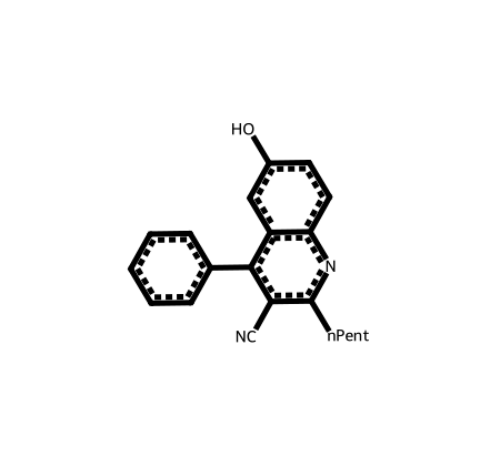 CCCCCc1nc2ccc(O)cc2c(-c2ccccc2)c1C#N